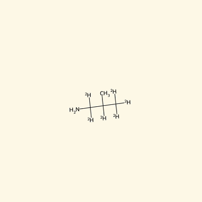 [2H]C([2H])([2H])C([2H])(C)C([2H])([2H])N